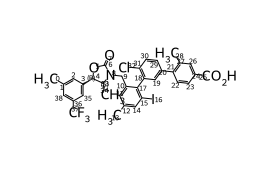 Cc1cc([C@H]2OC(=O)N(Cc3cc(C)cc(I)c3-c3cc(-c4ccc(C(=O)O)cc4C)ccc3Cl)[C@H]2C)cc(C(F)(F)F)c1